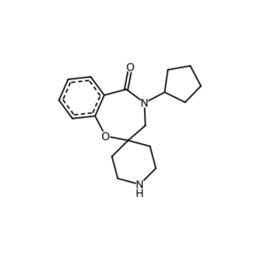 O=C1c2ccccc2OC2(CCNCC2)CN1C1CCCC1